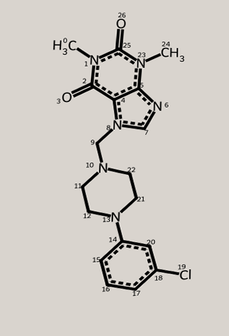 Cn1c(=O)c2c(ncn2CN2CCN(c3cccc(Cl)c3)CC2)n(C)c1=O